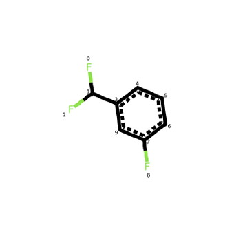 F[C](F)c1cccc(F)c1